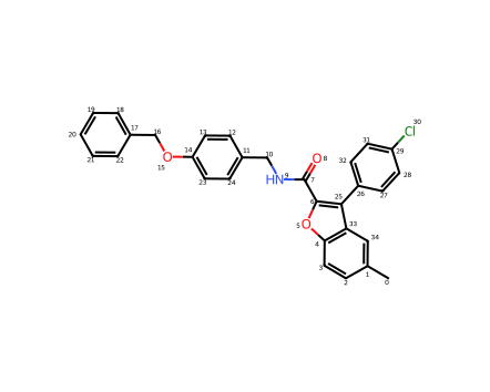 Cc1ccc2oc(C(=O)NCc3ccc(OCc4ccccc4)cc3)c(-c3ccc(Cl)cc3)c2c1